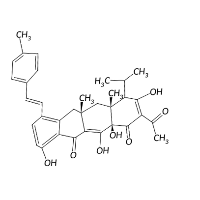 CC(=O)C1=C(O)C(C(C)C)[C@@]2(C)C[C@@]3(C)Cc4c(/C=C/c5ccc(C)cc5)ccc(O)c4C(=O)C3=C(O)[C@@]2(O)C1=O